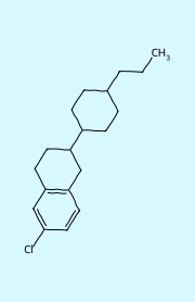 CCCC1CCC(C2CCc3cc(Cl)ccc3C2)CC1